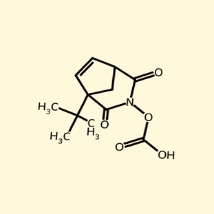 CC(C)(C)C12C=CC(C1)C(=O)N(OC(=O)O)C2=O